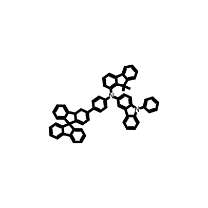 CC1(C)c2ccccc2-c2cccc(N(c3ccc(C4=CC=C5C(C4)c4ccccc4C54c5ccccc5-c5ccccc54)cc3)c3ccc4c(c3)c3ccccc3n4-c3ccccc3)c21